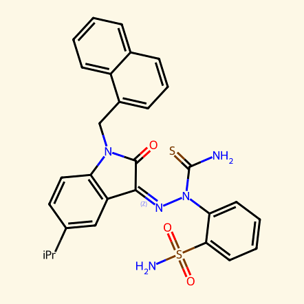 CC(C)c1ccc2c(c1)/C(=N/N(C(N)=S)c1ccccc1S(N)(=O)=O)C(=O)N2Cc1cccc2ccccc12